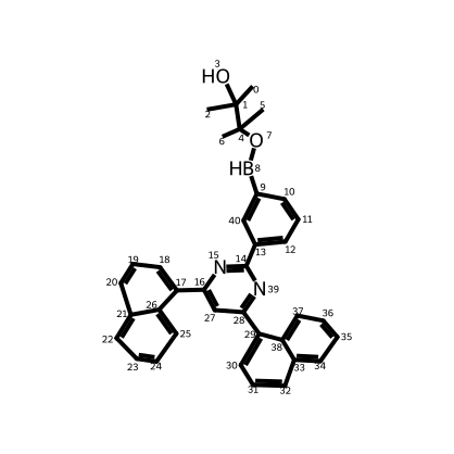 CC(C)(O)C(C)(C)OBc1cccc(-c2nc(-c3cccc4ccccc34)cc(-c3cccc4ccccc34)n2)c1